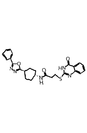 O=C(CCSc1nc2ccccc2c(=O)[nH]1)N[C@H]1CC[C@H](c2nnc(-c3ccccc3)o2)CC1